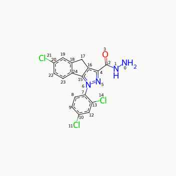 NNC(=O)c1nn(-c2ccc(Cl)cc2Cl)c2c1Cc1cc(Cl)ccc1-2